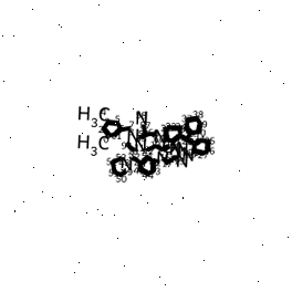 Cc1cc(C)cc(CN2CCN(CCC(=O)N(Cc3nnn(C(c4ccccc4)(c4ccccc4)c4ccccc4)n3)c3cccc(CN4CCCCC4)c3)C2=C(C#N)C#N)c1